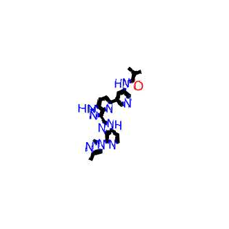 Cc1cn(-c2nccc3[nH]c(-c4n[nH]c5ccc(-c6cncc(NC(=O)C(C)C)c6)nc45)nc23)cn1